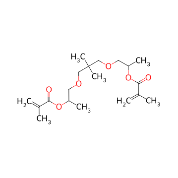 C=C(C)C(=O)OC(C)COCC(C)(C)COCC(C)OC(=O)C(=C)C